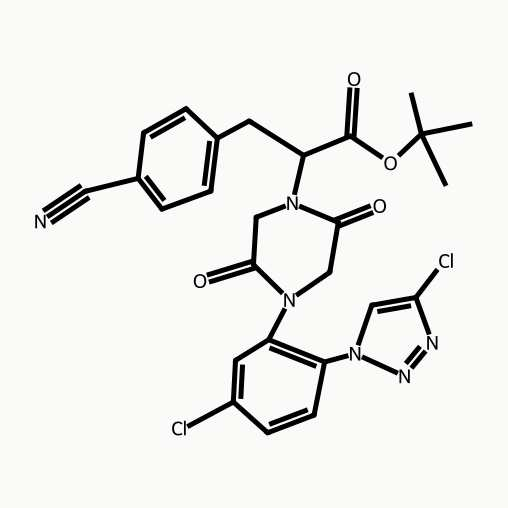 CC(C)(C)OC(=O)C(Cc1ccc(C#N)cc1)N1CC(=O)N(c2cc(Cl)ccc2-n2cc(Cl)nn2)CC1=O